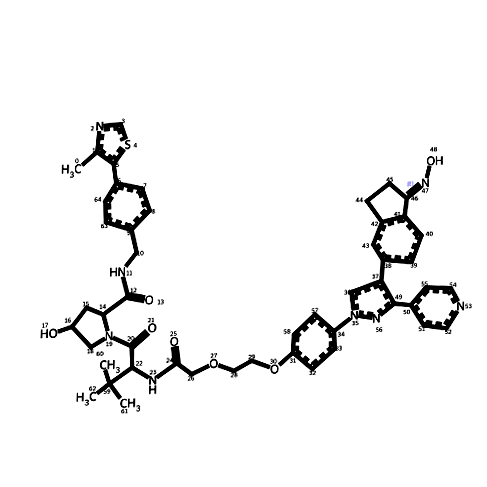 Cc1ncsc1-c1ccc(CNC(=O)C2CC(O)CN2C(=O)C(NC(=O)COCCOc2ccc(-n3cc(-c4ccc5c(c4)CC/C5=N\O)c(-c4ccncc4)n3)cc2)C(C)(C)C)cc1